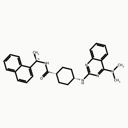 C[C@@H](NC(=O)[C@H]1CC[C@@H](Nc2nc(N(C)C)c3ccccc3n2)CC1)c1cccc2ccccc12